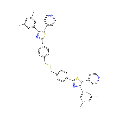 Cc1cc(C)cc(-c2nc(-c3ccc(CSCc4ccc(-c5nc(-c6cc(C)cc(C)c6)c(-c6ccncc6)s5)cc4)cc3)sc2-c2ccncc2)c1